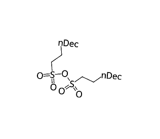 CCCCCCCCCCCCS(=O)(=O)OS(=O)(=O)CCCCCCCCCCCC